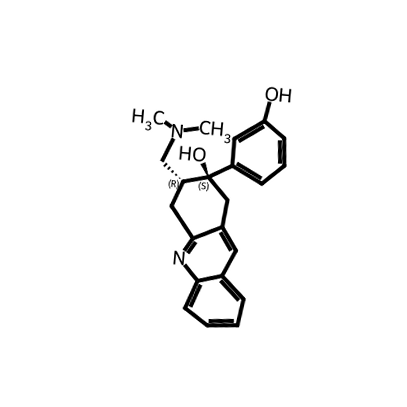 CN(C)C[C@H]1Cc2nc3ccccc3cc2C[C@@]1(O)c1cccc(O)c1